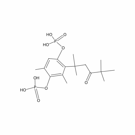 Cc1cc(OP(=O)(O)O)c(C(C)(C)CC(=O)C(C)(C)C)c(C)c1OP(=O)(O)O